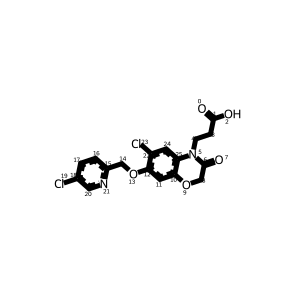 O=C(O)CCN1C(=O)COc2cc(OCc3ccc(Cl)cn3)c(Cl)cc21